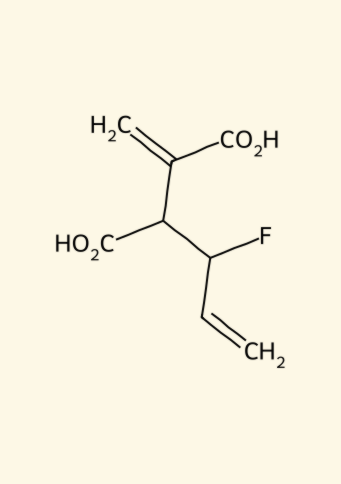 C=CC(F)C(C(=C)C(=O)O)C(=O)O